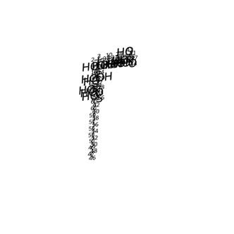 CC(C)(C)C(O)O.CC(C)(C)C(O)O.CC(C)(C)C(O)O.CC(C)(C)C(O)O.CC(CO)(CO)C(=O)O.CC(CO)(CO)C(=O)O.CCCCCCCCCCCCCCCCCCC(O)=S